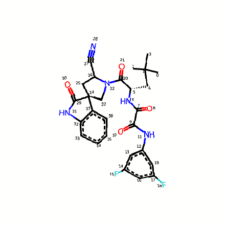 CC(C)(C)C[C@H](NC(=O)C(=O)Nc1cc(F)cc(F)c1)C(=O)N1C[C@]2(CC1C#N)C(=O)Nc1ccccc12